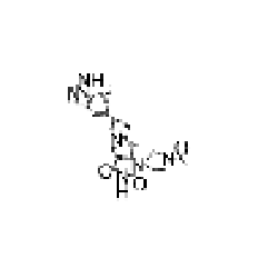 C=C(/C=C\c1ncc2c(=O)[nH]c(=O)n(C3CCN(C(C)=O)CC3)c2c1C)c1ccc2c(cnn2N)c1